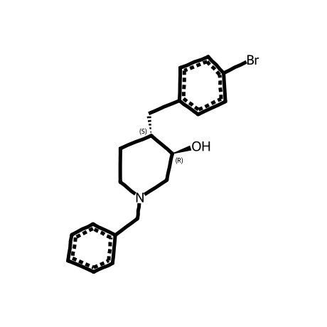 O[C@H]1CN(Cc2ccccc2)CC[C@@H]1Cc1ccc(Br)cc1